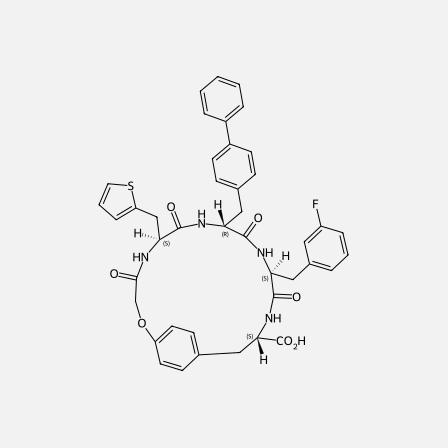 O=C1COc2ccc(cc2)C[C@@H](C(=O)O)NC(=O)[C@H](Cc2cccc(F)c2)NC(=O)[C@@H](Cc2ccc(-c3ccccc3)cc2)NC(=O)[C@H](Cc2cccs2)N1